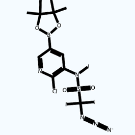 CC1(C)OB(c2cnc(Cl)c(N(I)S(=O)(=O)C(I)(I)N=[N+]=[N-])c2)OC1(C)C